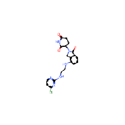 O=C1CCC(N2Cc3c(NCCNc4nccc(Cl)n4)cccc3C2=O)C(=O)N1